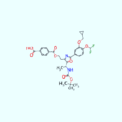 CC(NC(=O)OC(C)(C)C)c1oc(-c2ccc(OC(F)F)c(OCC3CC3)c2)nc1CCOC(=O)c1ccc(C(=O)O)cc1